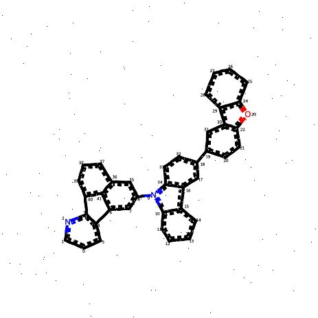 c1cnc2c(c1)-c1cc(-n3c4ccccc4c4cc(-c5ccc6oc7ccccc7c6c5)ccc43)cc3cccc-2c13